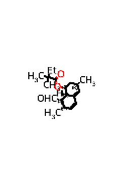 CCC(C)(C)C(=O)O[C@H]1C[C@@H](C)C=C2C=C[C@H](C)[C@H](C=O)[C@H]21